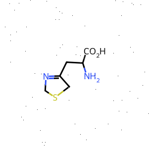 NC(CC1=NCSC1)C(=O)O